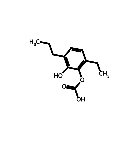 CCCc1ccc(CC)c(OC(=O)O)c1O